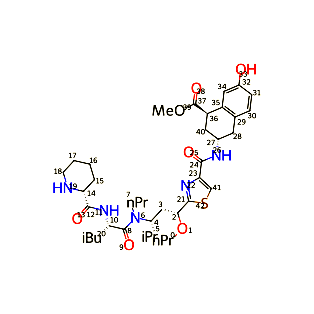 CCCO[C@H](C[C@H](C(C)C)N(CCC)C(=O)[C@@H](NC(=O)[C@H]1CCCCN1)[C@@H](C)CC)c1nc(C(=O)N[C@H]2Cc3ccc(O)cc3[C@H](C(=O)OC)C2)cs1